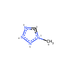 Cn1[c]nnn1